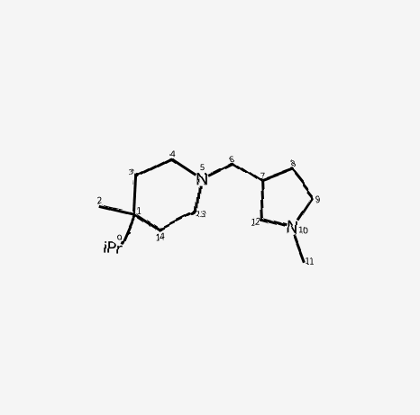 CC(C)C1(C)CCN(CC2CCN(C)C2)CC1